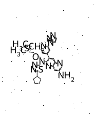 C[Si](C)(C)CCOCN(c1nnc(C2CCCC2)s1)c1nc2cc(N)cnc2cc1-c1ccnc(-n2ccnn2)c1